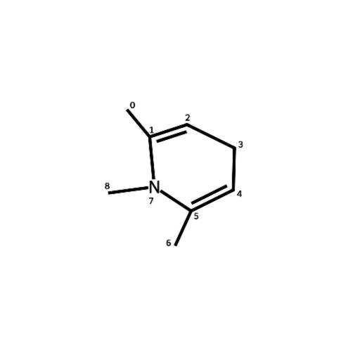 CC1=CCC=C(C)N1C